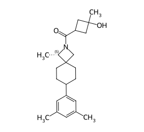 Cc1cc(C)cc(C2CCC3(CC2)CN(C(=O)C2CC(C)(O)C2)[C@H]3C)c1